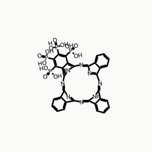 O=P(O)(O)c1c(P(=O)(O)O)c(P(=O)(O)O)c2c3nc4nc(nc5[nH]c(nc6nc(nc([nH]3)c2c1P(=O)(O)O)-c1ccccc1-6)c1ccccc51)-c1ccccc1-4